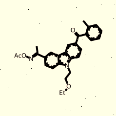 CCOCCn1c2ccc(C(=O)c3ccccc3C)cc2c2cc(C(C)=NOC(C)=O)ccc21